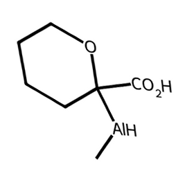 [CH3][AlH][C]1(C(=O)O)CCCCO1